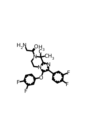 CC1(C)c2nc(-c3ccc(F)c(F)c3)c(Oc3ccc(F)c(F)c3)n2CCN1C(=O)CN